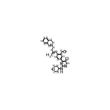 CN(CCN1CCc2ccccc2C1)Cc1ccc(-c2nc(NC3CCOCC3)ncc2Cl)cc1C=O